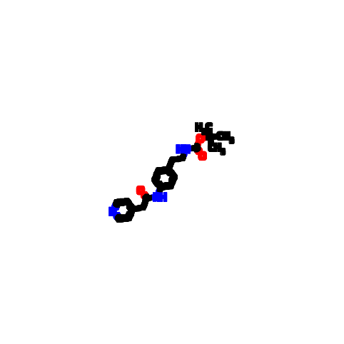 CC(C)(C)OC(=O)NCCc1ccc(NC(=O)Cc2ccncc2)cc1